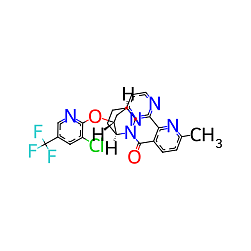 Cc1ccc(C(=O)N2C[C@@H]3CC[C@H]2[C@H](Oc2ncc(C(F)(F)F)cc2Cl)C3)c(-c2ncccn2)n1